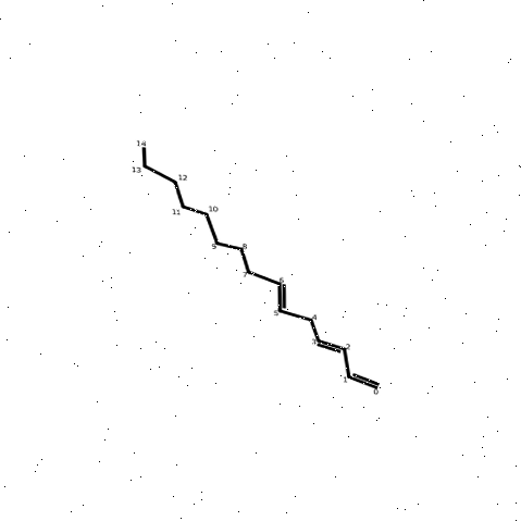 C=CC=CCC=CCCCCCCCC